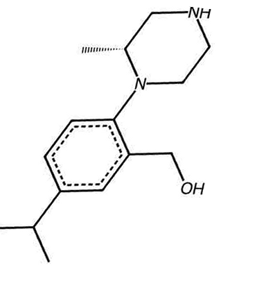 CC(C)c1ccc(N2CCNC[C@H]2C)c(CO)c1